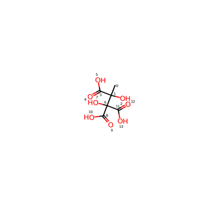 CC(O)(C(=O)O)C(O)(C(=O)O)C(=O)O